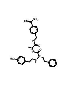 C[C@H](NC(=O)[C@@H](CCc1ccccc1)NCCc1ccc(O)cc1)C(=O)NCc1ccc(C(=N)N)cc1